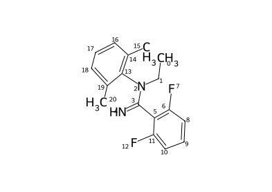 CCN(C(=N)c1c(F)cccc1F)c1c(C)cccc1C